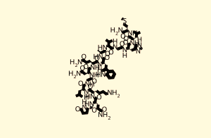 CSCC[C@H](NC(=O)[C@H](CC(C)C)NC(=O)[C@H](Cc1c[nH]cn1)NC(=O)CNC(=O)[C@@H](NC(=O)[C@H](C)NC(=O)[C@H](Cc1c[nH]c2ccccc12)NC(=O)[C@H](CCC(N)=O)NC(=O)[C@H](CC(N)=O)NC(=O)CNC(=O)[C@H](CC(C)C)NC(=O)[C@H](CCCCN)NC(=O)[C@H](CCC(N)=O)NC(=O)[C@@H]1CCC(=O)N1)C(C)C)C(N)=O